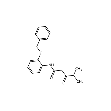 CC(C)C(=O)CC(=O)Nc1ccccc1OCc1ccccc1